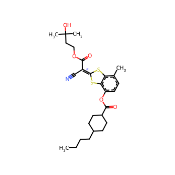 CCCCC1CCC(C(=O)Oc2ccc(C)c3c2S/C(=C(\C#N)C(=O)OCCC(C)(C)O)S3)CC1